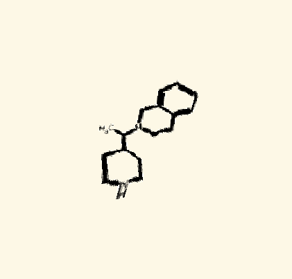 CC(C1CCNCC1)N1CCc2ccccc2C1